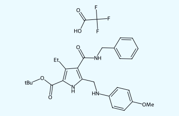 CCc1c(C(=O)OC(C)(C)C)[nH]c(CNc2ccc(OC)cc2)c1C(=O)NCc1ccccc1.O=C(O)C(F)(F)F